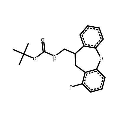 CC(C)(C)OC(=O)NCC1Cc2c(F)cccc2Oc2ccccc21